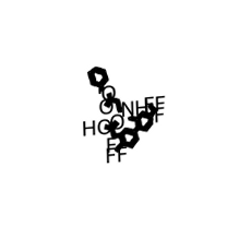 O=C(O)Cc1cc(-c2ccc(C(F)(F)F)cc2CNCCC(=O)OCc2ccccc2)ccc1C(F)(F)F